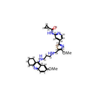 COc1ccc2nc3c(c(NCCCNCc4sc(-c5ccnc(NC(=O)C6CC6)c5)nc4OC)c2c1)CCCC3